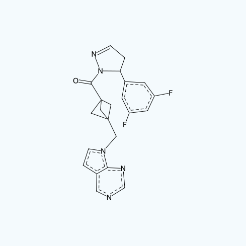 O=C(N1N=CCC1c1cc(F)cc(F)c1)C12CC(Cn3ccc4cncnc43)(C1)C2